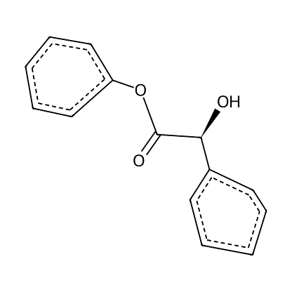 O=C(Oc1ccccc1)[C@@H](O)c1ccccc1